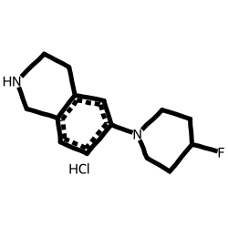 Cl.FC1CCN(c2ccc3c(c2)CCNC3)CC1